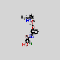 CCc1ccccc1NC(=O)OCCOc1ccc(C=NNC(=O)c2ccc(O)c(Cl)c2)c2ccccc12